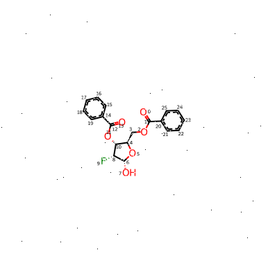 O=C(OC[C@H]1O[C@H](O)[C@H](F)[C@@H]1OC(=O)c1ccccc1)c1ccccc1